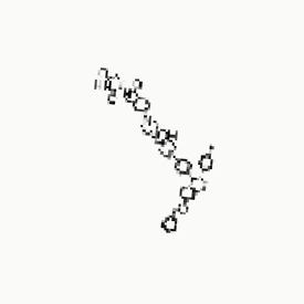 O=C1CCC(N2Cc3cc(N4CCN(CC5(O)CCN(c6ccc(C7c8ccc(OCc9ccccc9)cc8CC[C@@H]7c7ccc(F)cc7)cc6)CC5)CC4)ccc3C2=O)C(=O)N1